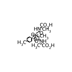 Cc1ccc(S(=O)(=O)N(CC(=O)N[C@@H](C)C(=O)O)[C@H](C)C(=O)N[C@@H](C)C(=O)O)cc1